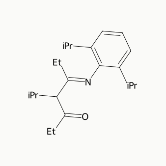 CCC(=O)C(C(CC)=Nc1c(C(C)C)cccc1C(C)C)C(C)C